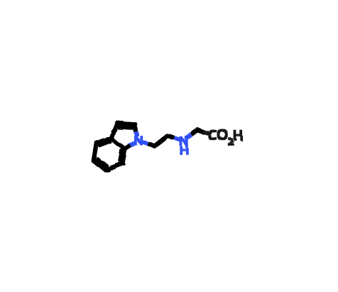 O=C(O)CNCCn1ccc2ccccc21